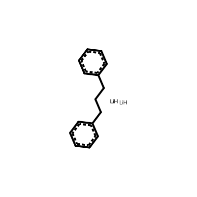 [LiH].[LiH].c1ccc(CCCc2ccccc2)cc1